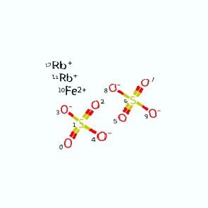 O=S(=O)([O-])[O-].O=S(=O)([O-])[O-].[Fe+2].[Rb+].[Rb+]